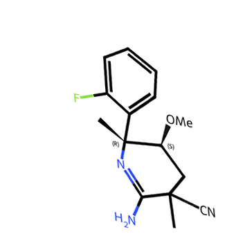 CO[C@H]1CC(C)(C#N)C(N)=N[C@]1(C)c1ccccc1F